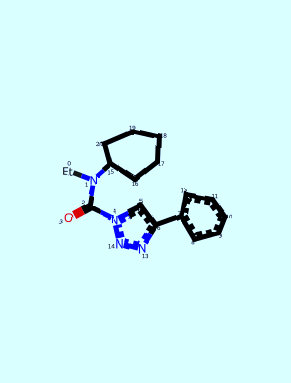 CCN(C(=O)n1cc(-c2ccccc2)nn1)C1CCCCC1